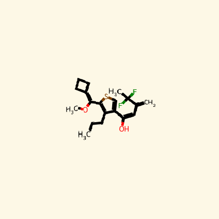 C=C(/C=C(/O)c1csc(C(OC)=C2CCC2)c1CCC)C(C)(F)F